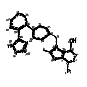 Cc1nc2c(C(C)C)nnc(O)c2n1Cc1ccc(-c2ccccc2-c2nnn[nH]2)cc1